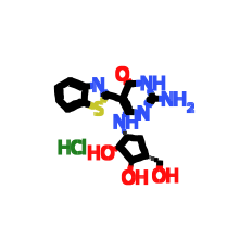 Cl.Nc1nc(N[C@@H]2C[C@H](CO)[C@@H](O)[C@H]2O)c(-c2nc3ccccc3s2)c(=O)[nH]1